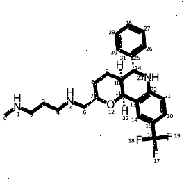 CNCCCNC[C@H]1CC[C@@H]2[C@H](O1)c1cc(C(F)(F)F)ccc1N[C@H]2c1ccccc1